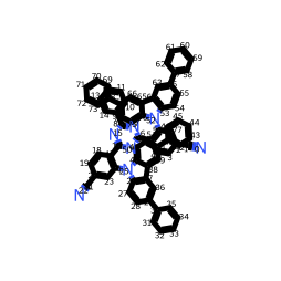 N#Cc1ccc(-c2nc(-c3ccccc3)nc(-c3ccc(C#N)cc3-n3c4ccc(-c5ccccc5)cc4c4cc(-c5ccccc5)ccc43)n2)c(-n2c3ccc(-c4ccccc4)cc3c3cc(-c4ccccc4)ccc32)c1